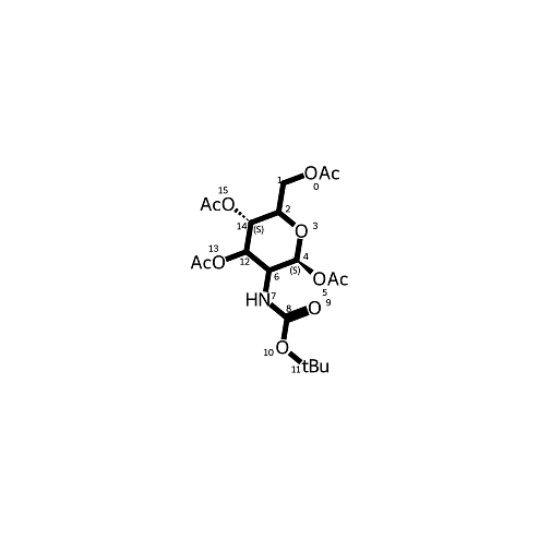 CC(=O)OCC1O[C@@H](OC(C)=O)C(NC(=O)OC(C)(C)C)C(OC(C)=O)[C@@H]1OC(C)=O